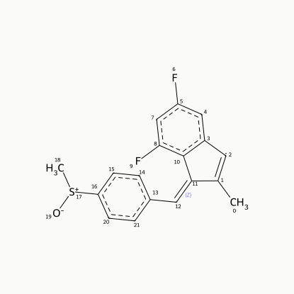 CC1=[C]c2cc(F)cc(F)c2/C1=C\c1ccc([S+](C)[O-])cc1